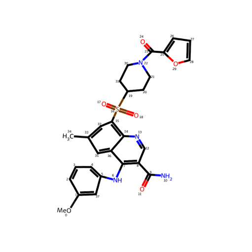 COc1cccc(Nc2c(C(N)=O)cnc3c(S(=O)(=O)C4CCN(C(=O)c5ccco5)CC4)cc(C)cc23)c1